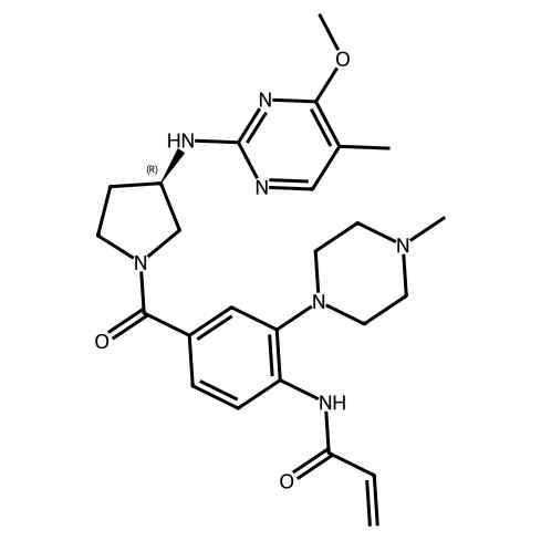 C=CC(=O)Nc1ccc(C(=O)N2CC[C@@H](Nc3ncc(C)c(OC)n3)C2)cc1N1CCN(C)CC1